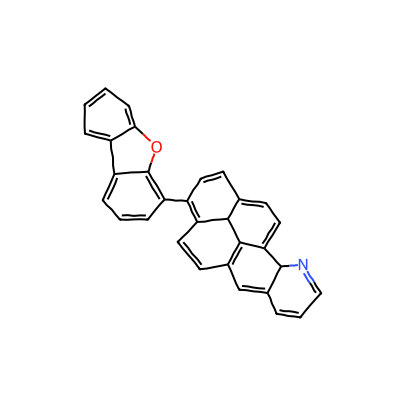 C1=CC2=CC3=C4C(=CC=C5C=CC(c6cccc7c6oc6ccccc67)=C(C=C3)C54)C2N=C1